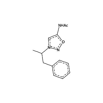 CC(=O)[N-]c1c[n+](C(C)Cc2ccccc2)no1